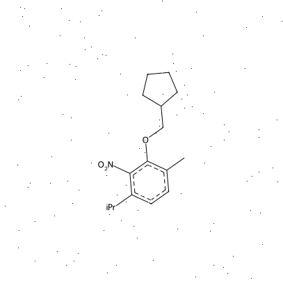 Cc1ccc(C(C)C)c([N+](=O)[O-])c1OCC1CCCC1